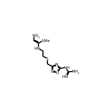 CS/C(=C\[N+](=O)[O-])NCCSCc1noc(NC(=N)N)n1